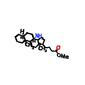 COC(=O)CCCC1CCC2[C@]1(C)CC=C1[C@@]2(N)CC[C@@H]2CCCC[C@]12C